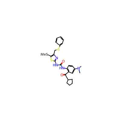 CSc1sc(NC(=O)Nc2ccc(N(C)C)cc2C(=O)C2CCCC2)nc1CSc1ccccc1